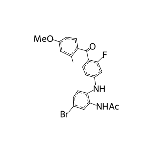 COc1ccc(C(=O)c2ccc(Nc3ccc(Br)cc3NC(C)=O)cc2F)c(C)c1